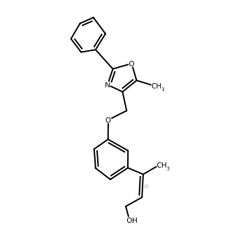 C/C(=C/CO)c1cccc(OCc2nc(-c3ccccc3)oc2C)c1